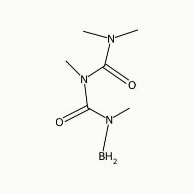 BN(C)C(=O)N(C)C(=O)N(C)C